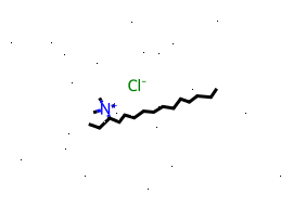 CCCCCCCCCCCCC(CC)[N+](C)(C)C.[Cl-]